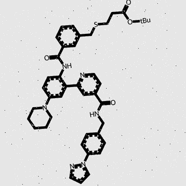 CC(C)(C)OC(=O)CCSCc1cccc(C(=O)Nc2ccc(N3CCCCC3)cc2-c2cc(C(=O)NCc3ccc(-n4cccn4)cc3)ccn2)c1